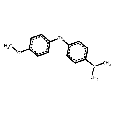 COc1ccc([Te]c2ccc(N(C)C)cc2)cc1